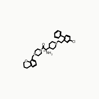 N[C@@H](C(=O)N1CCN(Cc2cccc3c2OCCC3)CC1)C1CCN(CCc2cc(Cl)ccc2-c2ccccc2)CC1